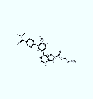 CN(C)C(=O)c1ccc(-c2cc(-c3ccnc4[nH]c(C(=O)NCCN)cc34)cnc2N)nc1